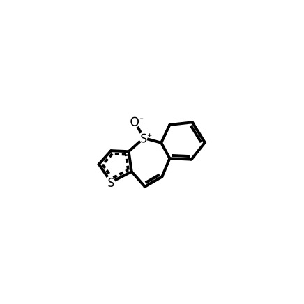 [O-][S+]1c2ccsc2C=CC2=CC=CCC21